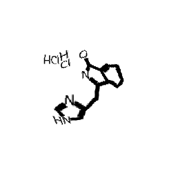 Cl.Cl.O=C1N=C(Cc2c[nH]cn2)c2ccccc21